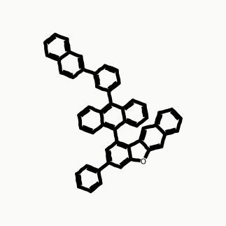 c1ccc(-c2cc(-c3c4ccccc4c(-c4cccc(-c5ccc6ccccc6c5)c4)c4ccccc34)c3c(c2)oc2cc4ccccc4cc23)cc1